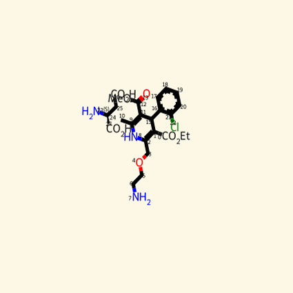 CCOC(=O)C1=C(COCCN)NC(C)=C(C(=O)OC)C1c1ccccc1Cl.N[C@@H](CC(=O)O)C(=O)O